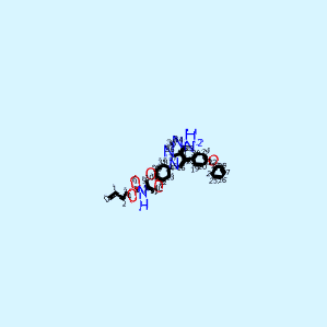 CCCCOC(=O)NC1COC2(CCC(n3cc(-c4ccc(Oc5ccccc5)cc4)c4c(N)ncnc43)CC2)OC1